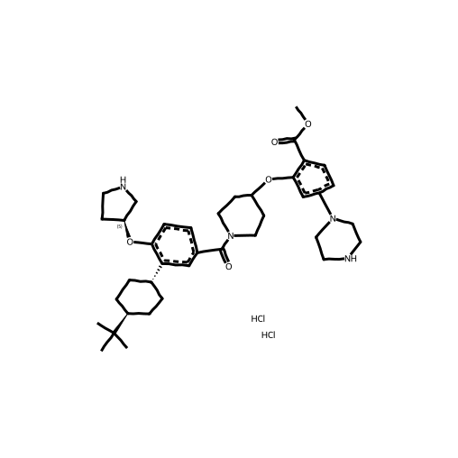 COC(=O)c1ccc(N2CCNCC2)cc1OC1CCN(C(=O)c2ccc(O[C@H]3CCNC3)c([C@H]3CC[C@H](C(C)(C)C)CC3)c2)CC1.Cl.Cl